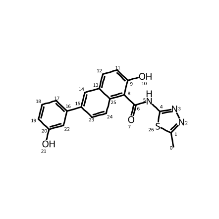 Cc1nnc(NC(=O)c2c(O)ccc3cc(-c4cccc(O)c4)ccc23)s1